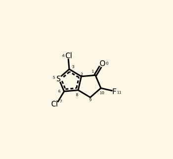 O=C1c2c(Cl)sc(Cl)c2CC1F